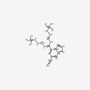 [C-]#[N+]c1cc(N(COCC[Si](C)(C)C)COCC[Si](C)(C)C)n2nccc2n1